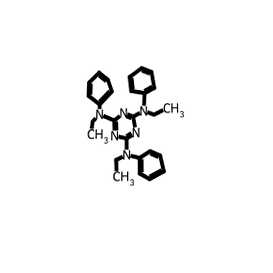 CCN(c1ccccc1)c1nc(N(CC)c2ccccc2)nc(N(CC)c2ccccc2)n1